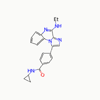 CCNc1nc2ccccc2n2c(-c3ccc(C(=O)NC4CC4)cc3)cnc12